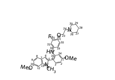 COc1ccc(-c2cc3ccc(OC)cc3n2C)c(Nc2ccc(OCCN3CCCCC3)c(F)c2)c1